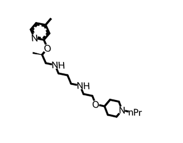 CCCN1CCC(OCCNCCCNC[C@@H](C)Oc2cc(C)ccn2)CC1